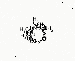 CC[C@H](C)[C@@H]1NC(=O)[C@H](CC(C)C)NC(=O)[C@H]([C@@H](C)O)NC(=O)CCSCc2cccc(c2)CSC[C@@H](C(N)=O)NC1=O